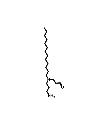 CCCCCCCCCCCCCN(CCC=O)CCCN